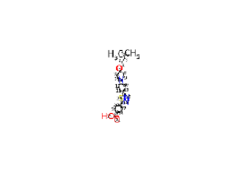 CC(C)CCCOC1CCN(c2ccc(-c3nnc(-c4ccc(C(=O)O)cc4)s3)cc2)CC1